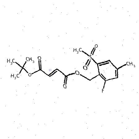 Cc1cc(F)c(COC(=O)/C=C/C(=O)OC(C)(C)C)c(S(C)(=O)=O)c1